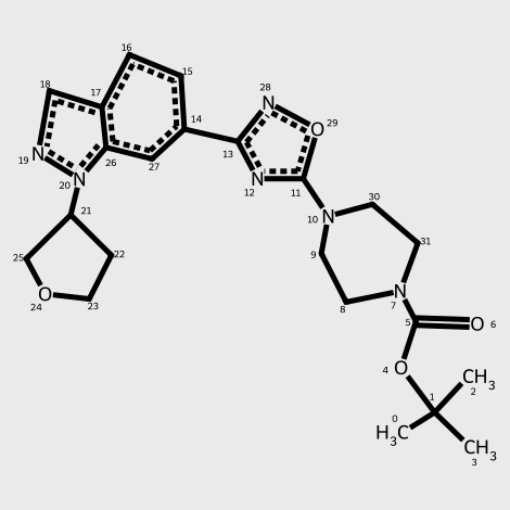 CC(C)(C)OC(=O)N1CCN(c2nc(-c3ccc4cnn(C5CCOC5)c4c3)no2)CC1